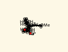 COC(=O)CCCCCCCCO[C@@H]1O[C@H](CO)[C@@H](O[C@@H]2O[C@H](CO)[C@H](O)[C@H](OS(=O)(=O)[O-])[C@H]2O)[C@H](O[C@@H]2O[C@@H](C)[C@@H](OS(=O)(=O)[O-])[C@@H](O)[C@@H]2O)[C@H]1NC(C)=O.[Na+].[Na+]